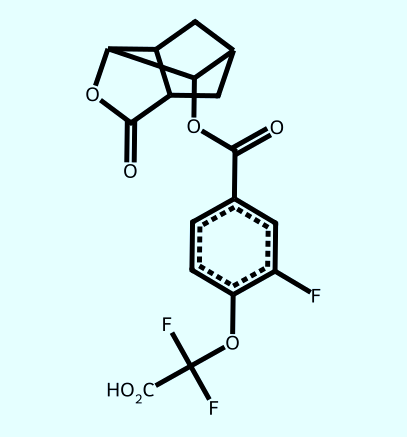 O=C(OC1C2CC3C(=O)OC1C3C2)c1ccc(OC(F)(F)C(=O)O)c(F)c1